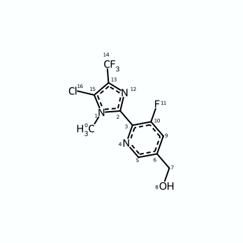 Cn1c(-c2ncc(CO)cc2F)nc(C(F)(F)F)c1Cl